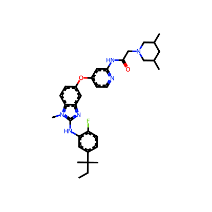 CCC(C)(C)c1ccc(F)c(Nc2nc3cc(Oc4ccnc(NC(=O)CN5CC(C)CC(C)C5)c4)ccc3n2C)c1